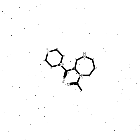 CC(=O)N1CCCNCC1C(=O)N1CCOCC1